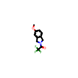 COc1ccc2c(c1)CN(C(=O)C(F)(F)F)C2